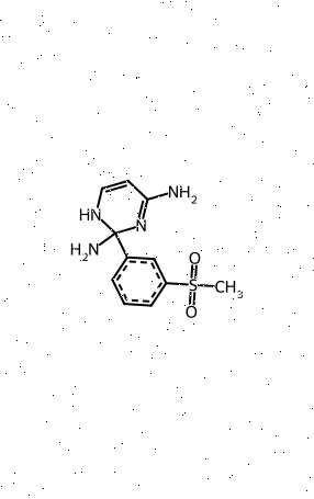 CS(=O)(=O)c1cccc(C2(N)N=C(N)C=CN2)c1